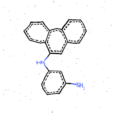 Nc1cccc(Nc2cc3ccccc3c3ccccc23)c1